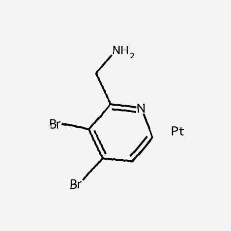 NCc1nccc(Br)c1Br.[Pt]